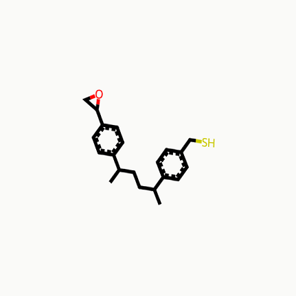 CC(CCC(C)c1ccc(C2CO2)cc1)c1ccc(CS)cc1